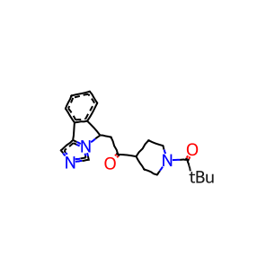 CC(C)(C)C(=O)N1CCC(C(=O)CC2c3ccccc3-c3cncn32)CC1